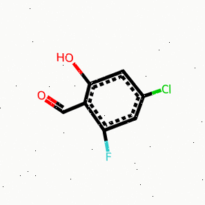 O=Cc1c(O)cc(Cl)cc1F